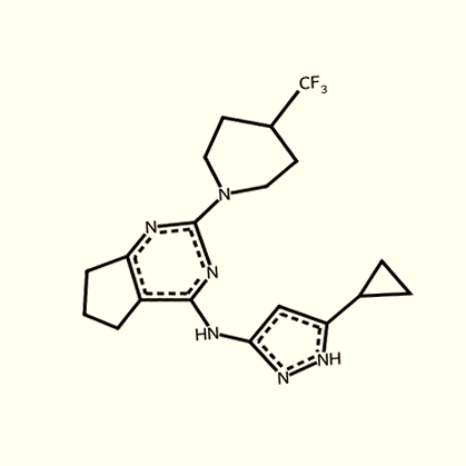 FC(F)(F)C1CCN(c2nc3c(c(Nc4cc(C5CC5)[nH]n4)n2)CCC3)CC1